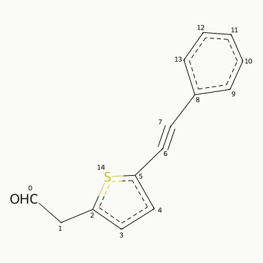 O=CCc1ccc(C#Cc2ccccc2)s1